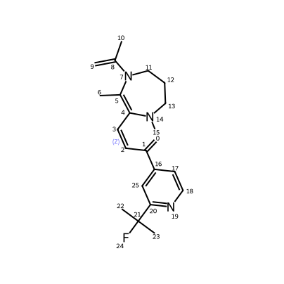 C=C(/C=C\C1=C(C)N(C(=C)C)CCCN1C)c1ccnc(C(C)(C)F)c1